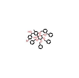 Cc1cc(OCc2ccccc2)c([C@]2(O)O[C@H](COCc3ccccc3)[C@@H](OCc3ccccc3)[C@H](OCc3ccccc3)[C@H]2OCc2ccccc2)cc1C(O)c1ccc(Br)cc1